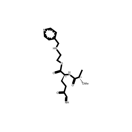 CO[C@@H](C)C(=O)N[C@@H](CCC(=O)C=N)C(=O)OCCNCc1ccncc1